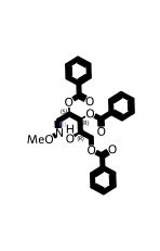 CO/N=C/[C@H](OC(=O)c1ccccc1)[C@H](OC(=O)c1ccccc1)[C@H](O)COC(=O)c1ccccc1